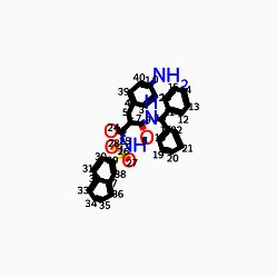 Nc1ccc(CC(C(=O)NC(c2ccccc2)c2ccccc2)C(=O)NS(=O)(=O)c2ccc3ccccc3c2)cc1